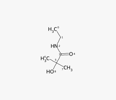 CCNC(=O)C(C)(C)O